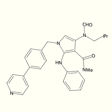 CNC(=O)c1c(N(C=O)CC(C)C)cn(Cc2ccc(-c3ccncc3)cc2)c1Nc1ccccc1